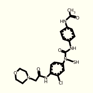 CC(=O)Nc1ccc(NC(=O)N(S)c2ccc(NC(=O)CN3CCOCC3)c(Cl)c2)cc1